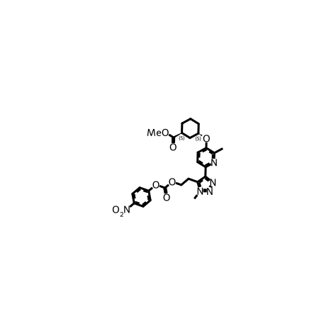 COC(=O)[C@H]1CCC[C@H](Oc2ccc(-c3nnn(C)c3CCOC(=O)Oc3ccc([N+](=O)[O-])cc3)nc2C)C1